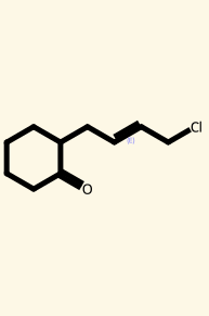 O=C1CCCCC1C/C=C/CCl